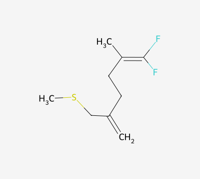 C=C(CCC(C)=C(F)F)CSC